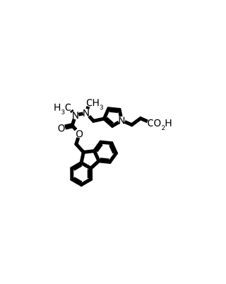 CN(Cc1ccn(CCC(=O)O)c1)N(C)C(=O)OCC1c2ccccc2-c2ccccc21